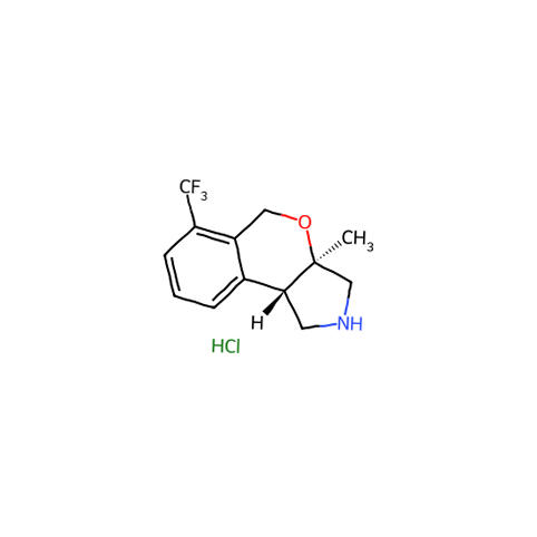 C[C@]12CNC[C@@H]1c1cccc(C(F)(F)F)c1CO2.Cl